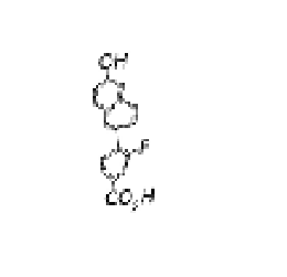 O=C(O)c1ccc(-c2ccc3cc(O)ccc3c2)c(F)c1